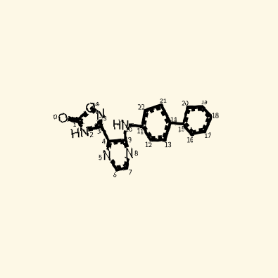 O=c1[nH]c(-c2nccnc2Nc2ccc(-c3ccccc3)cc2)no1